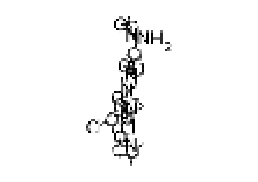 CC(=O)ON=C(N)c1ccc(S(=O)(=O)N2CCN(C(=O)[C@@H]3CCCN3S(=O)(=O)c3ccc(Cl)c(COc4cccc5c(C)cc(C)nc45)c3Cl)CC2)cc1